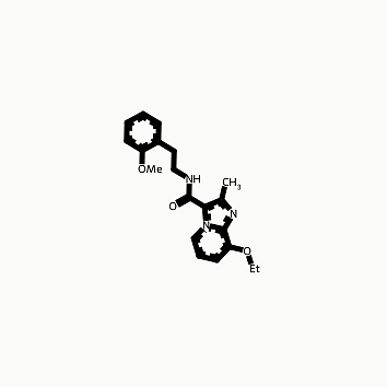 CCOc1cccn2c(C(=O)NCCc3ccccc3OC)c(C)nc12